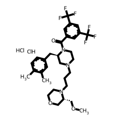 COC[C@@H]1COCCN1CCCN1CCN(C(=O)c2cc(C(F)(F)F)cc(C(F)(F)F)c2)[C@H](Cc2ccc(C)c(C)c2)C1.Cl.Cl